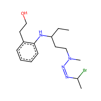 CCC(CCN(C)/N=N\C(C)Br)Nc1ccccc1CCO